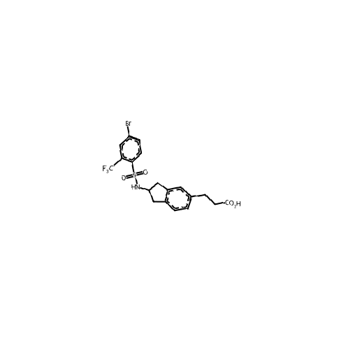 O=C(O)CCc1ccc2c(c1)CC(NS(=O)(=O)c1ccc(Br)cc1C(F)(F)F)C2